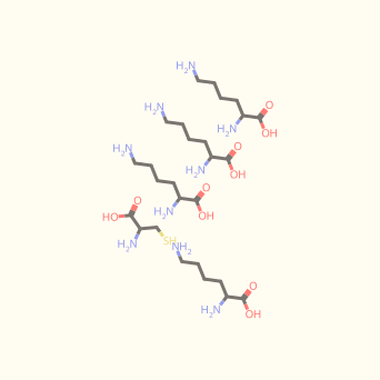 NC(CS)C(=O)O.NCCCCC(N)C(=O)O.NCCCCC(N)C(=O)O.NCCCCC(N)C(=O)O.NCCCCC(N)C(=O)O